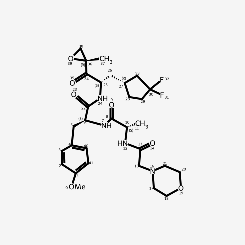 COc1ccc(C[C@H](NC(=O)[C@H](C)NC(=O)CN2CCOCC2)C(=O)N[C@@H](C[C@H]2CCC(F)(F)C2)C(=O)[C@@]2(C)CO2)cc1